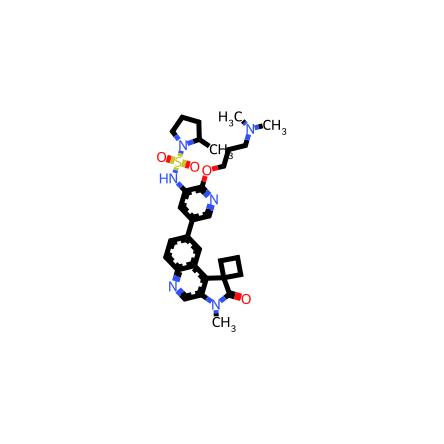 CC1CCCN1S(=O)(=O)Nc1cc(-c2ccc3ncc4c(c3c2)C2(CCC2)C(=O)N4C)cnc1OCCCN(C)C